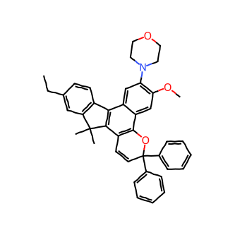 CCc1ccc2c(c1)C(C)(C)c1c3c(c4cc(OC)c(N5CCOCC5)cc4c1-2)OC(c1ccccc1)(c1ccccc1)C=C3